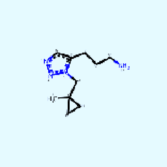 CC1(Cn2nncc2CCCN)CC1